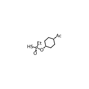 CCP(=O)(S)O[C@H]1CC[C@@H](C(C)=O)CC1